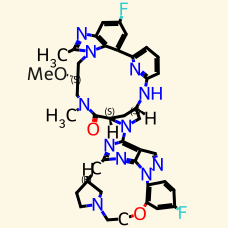 CO[C@H]1CN(C)C(=O)[C@@H]2C[C@@H](CN2c2nc3nc4c2cnn4-c2ccc(F)cc2OCCN2CC[C@H](C3)C2)Nc2cccc(n2)-c2cc(F)cc3nc(C)n(c23)C1